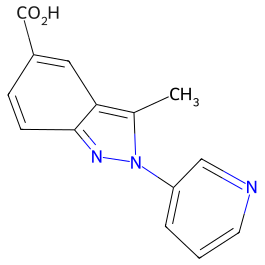 Cc1c2cc(C(=O)O)ccc2nn1-c1cccnc1